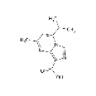 Cc1cc(C(C)C)n2cnc(C(=O)O)c2n1